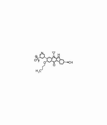 C#Cc1ccc2c(c1)[nH]c1c2c(=O)c2cc(OCCCC)c(-c3cncc(S(=O)(=O)F)c3)cc2n1C1CC1